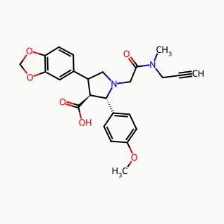 C#CCN(C)C(=O)CN1CC(c2ccc3c(c2)OCO3)[C@H](C(=O)O)[C@H]1c1ccc(OC)cc1